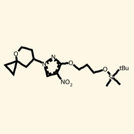 CC(C)(C)[Si](C)(C)OCCCOc1nn(C2CCOC3(CC3)C2)cc1[N+](=O)[O-]